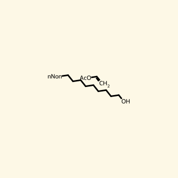 C=COC(C)=O.CCCCCCCCCCCCCCCCCCO